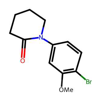 COc1cc(N2CCCCC2=O)ccc1Br